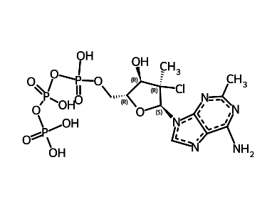 Cc1nc(N)c2ncn([C@H]3O[C@H](COP(=O)(O)OP(=O)(O)OP(=O)(O)O)[C@@H](O)[C@@]3(C)Cl)c2n1